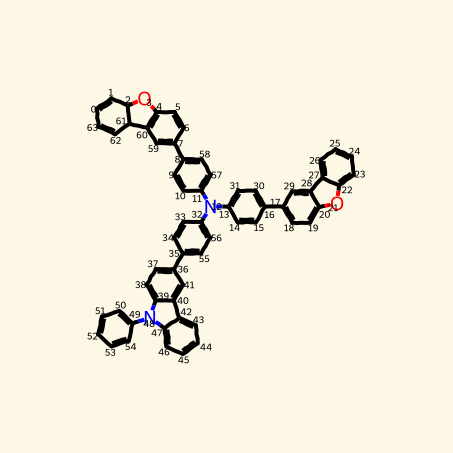 C1=CC2Oc3ccc(-c4ccc(N(c5ccc(-c6ccc7oc8ccccc8c7c6)cc5)c5ccc(-c6ccc7c(c6)c6ccccc6n7-c6ccccc6)cc5)cc4)cc3C2C=C1